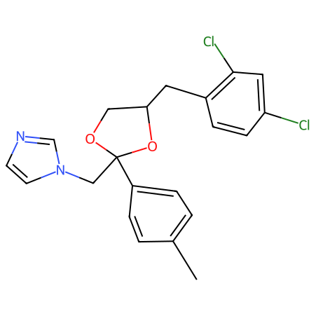 Cc1ccc(C2(Cn3ccnc3)OCC(Cc3ccc(Cl)cc3Cl)O2)cc1